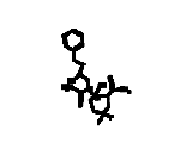 NC(=O)C1CC(F)(F)CC[C@]1(O)[C@H](CC(O)[CH]Cc1ccccc1)C(N)=O